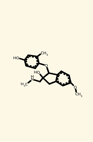 CNCC1(O)Cc2cc(OC)ccc2C1Oc1ccc(O)cc1C